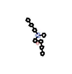 C1=CCC(c2nc(-c3ccc(-c4ccc(-c5ccccc5)cc4)cc3)nc(-c3cccc4oc5c(-c6ccc(-c7ccccc7)cc6)cccc5c34)n2)C=C1